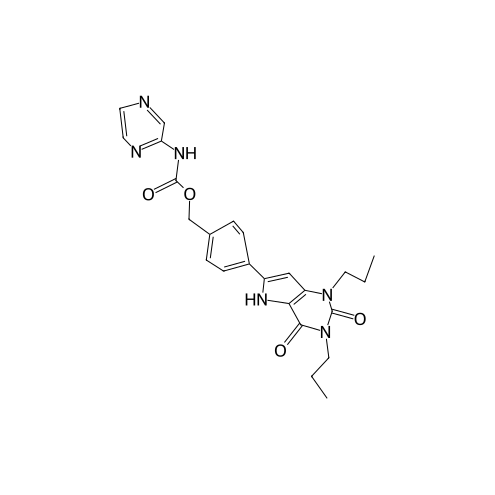 CCCn1c(=O)c2[nH]c(-c3ccc(COC(=O)Nc4cnccn4)cc3)cc2n(CCC)c1=O